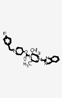 C[C@@H]1CN(c2ncc3ccccc3n2)C[C@H](C)N1C(=O)OC1CCN(Cc2ccc(F)cc2)CC1